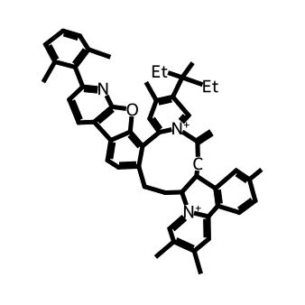 C=C1CC2c3cc(C)ccc3-c3cc(C)c(C)c[n+]3C2CCc2ccc3c(oc4nc(-c5c(C)cccc5C)ccc43)c2-c2cc(C)c(C(C)(CC)CC)c[n+]21